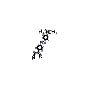 CN(C)c1ccc(/N=N/c2ccc(/C(C#N)=C/C#N)cc2)cc1